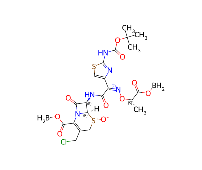 BOC(=O)C1=C(CCl)C[S+]([O-])[C@@H]2[C@H](NC(=O)/C(=N\O[C@@H](C)C(=O)OB)c3csc(NC(=O)OC(C)(C)C)n3)C(=O)N12